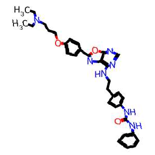 CCN(CC)CCCOc1ccc(-c2nc3c(NCCc4ccc(NC(=O)Nc5ccccc5)cc4)ncnc3o2)cc1